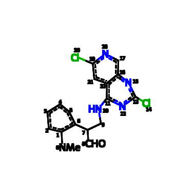 CNc1ccccc1C(C=O)CNc1nc(Cl)nc2cnc(Cl)cc12